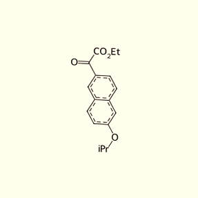 CCOC(=O)C(=O)c1ccc2cc(OC(C)C)ccc2c1